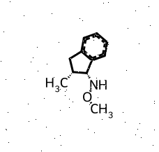 CON[C@H]1c2ccccc2C[C@H]1C